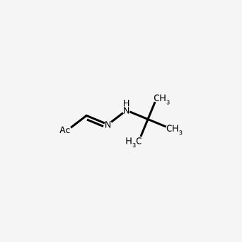 CC(=O)C=NNC(C)(C)C